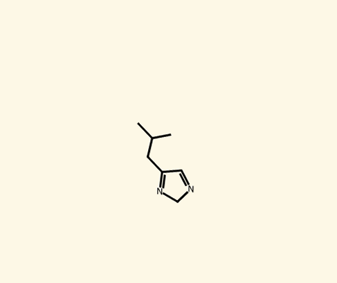 CC(C)CC1=NCN=C1